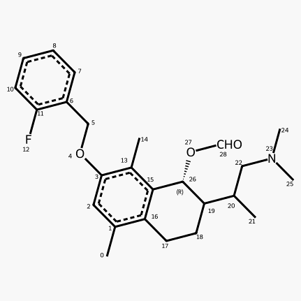 Cc1cc(OCc2ccccc2F)c(C)c2c1CCC(C(C)CN(C)C)[C@H]2OC=O